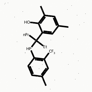 CCCC(CC)(Pc1ccc(C)cc1C(F)(F)F)c1cc(C)cc(C)c1O